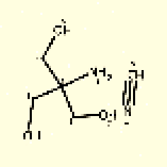 C#N.NC(CO)(CO)CO